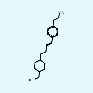 CCCc1ccc(C=CCCC2CCC(CC)CC2)cc1